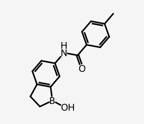 Cc1ccc(C(=O)Nc2ccc3c(c2)B(O)CC3)cc1